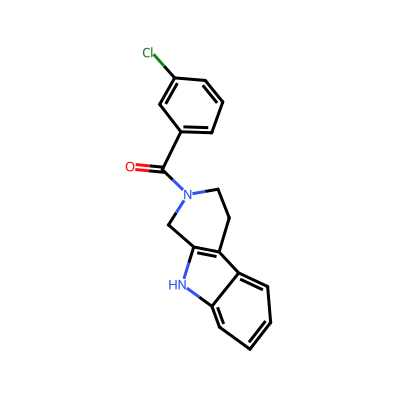 O=C(c1cccc(Cl)c1)N1CCc2c([nH]c3ccccc23)C1